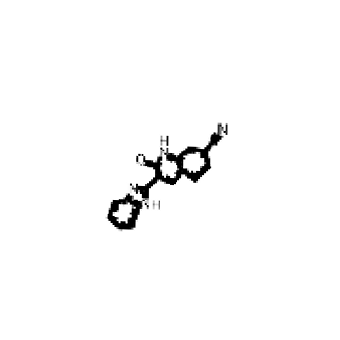 N#Cc1ccc2cc(-c3nc4ccccc4[nH]3)c(=O)[nH]c2c1